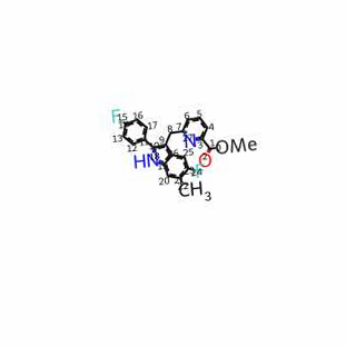 COC(=O)c1cccc(Cc2c(-c3ccc(F)cc3)[nH]c3cc(C)c(F)cc23)n1